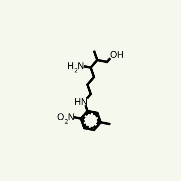 Cc1ccc([N+](=O)[O-])c(NCCCC(N)C(C)CO)c1